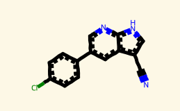 N#Cc1c[nH]c2ncc(-c3ccc(Cl)cc3)cc12